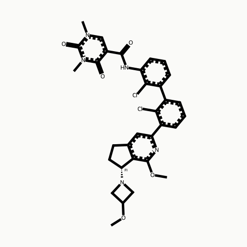 COc1nc(-c2cccc(-c3cccc(NC(=O)c4cn(C)c(=O)n(C)c4=O)c3Cl)c2Cl)cc2c1[C@H](N1CC(OC)C1)CC2